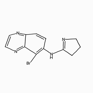 Brc1c(NC2=NCCC2)ccc2nccnc12